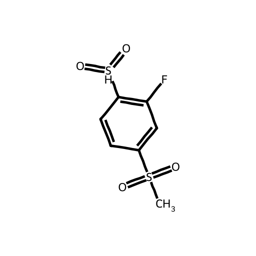 CS(=O)(=O)c1ccc([SH](=O)=O)c(F)c1